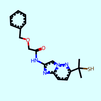 CC(C)(S)c1ccc2nc(NC(=O)COCc3ccccc3)cn2n1